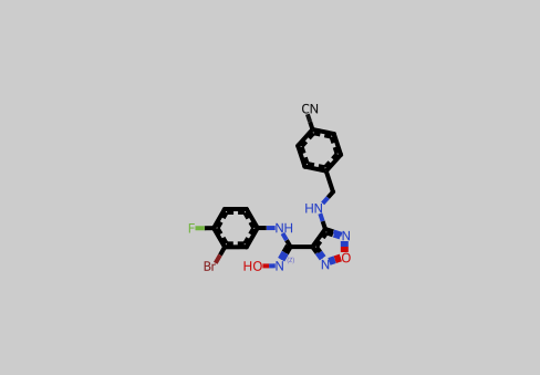 N#Cc1ccc(CNc2nonc2/C(=N/O)Nc2ccc(F)c(Br)c2)cc1